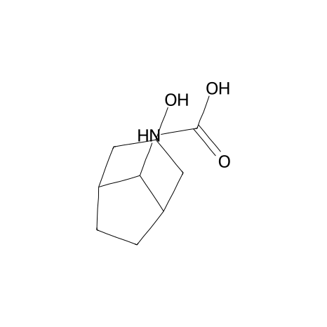 O=C(O)NC1C2CCC1CC(O)C2